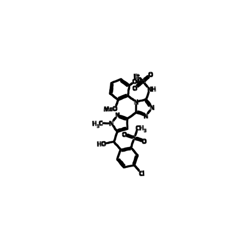 CCS(=O)(=O)Nc1nnc(-c2cc(C(O)c3ccc(Cl)cc3S(C)(=O)=O)n(C)n2)n1-c1c(OC)cccc1OC